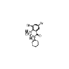 CN(C(=O)c1cc(Br)cc(Br)c1N)C1CCCCC1.Cl